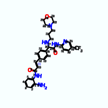 Nc1ccccc1NC(=O)/C=C/c1ccc(C(NCCCN2CCOCC2)C(=O)Nc2ccc(C(F)(F)F)cn2)cc1